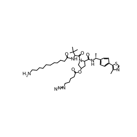 Cc1ncsc1-c1ccc([C@H](C)NC(=O)C2CC(OC(=O)CCCCN=[N+]=[N-])CN2C(=O)C(NC(=O)CCCCCCCCCCN)C(C)(C)C)cc1